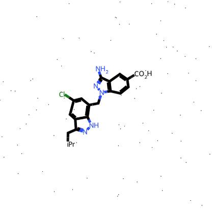 CC(C)Cc1n[nH]c2c(Cn3nc(N)c4cc(C(=O)O)ccc43)cc(Cl)cc12